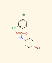 O=S(=O)(NC1CCC(O)CC1)c1ccc(Br)cc1Cl